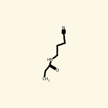 CCC(=O)NCCCC#N